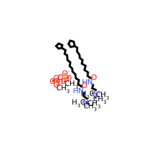 COS(=O)(=O)[O-].COS(=O)(=O)[O-].C[N+](C)(C)CCCNC(=O)CCCCCCCCCCC1CCCC1.C[N+](C)(C)CCCNC(=O)CCCCCCCCCCCCC1CCCC1